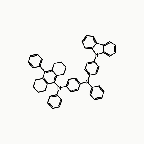 c1ccc(-c2c3c(c(N(c4ccccc4)c4ccc(N(c5ccccc5)c5ccc(-n6c7ccccc7c7ccccc76)cc5)cc4)c4c2CCCC4)CCCC3)cc1